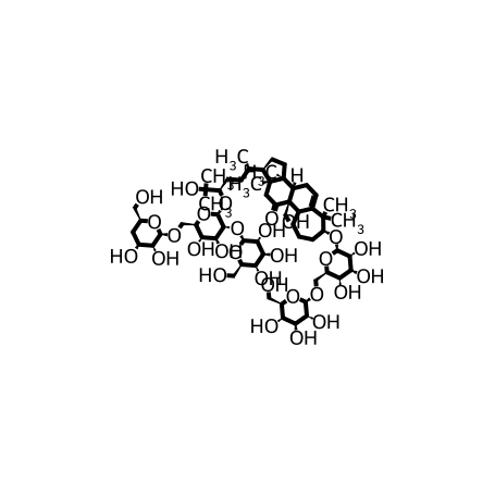 C[C@H](CC[C@@H](O[C@@H]1O[C@H](CO[C@@H]2O[C@H](CO)C[C@H](O)[C@H]2O)[C@@H](O)[C@H](O)[C@H]1O[C@@H]1O[C@H](CO)[C@@H](O)[C@H](O)[C@H]1O)C(C)(C)O)[C@H]1CC[C@@]2(C)[C@@H]3CC=C4C(CCC[C@H](O[C@@H]5O[C@H](CO[C@@H]6O[C@H](CO)[C@@H](O)[C@H](O)[C@H]6O)[C@@H](O)[C@H](O)[C@H]5O)C4(C)C)[C@]3(CO)C(=O)C[C@]12C